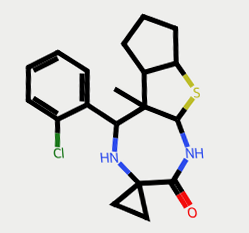 CC12C(NC(=O)C3(CC3)NC1c1ccccc1Cl)SC1CCCC12